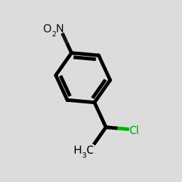 CC(Cl)c1ccc([N+](=O)[O-])cc1